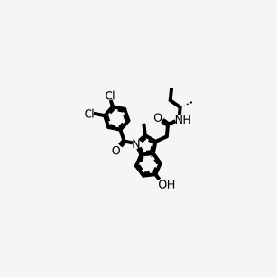 CC[C@H](C)NC(=O)Cc1c(C)n(C(=O)c2ccc(Cl)c(Cl)c2)c2ccc(O)cc12